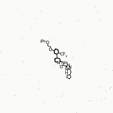 CC(C)OCCOc1ccc(C(F)(F)F)c(-c2ccnc(NC(=O)c3nnc(CC4CCCC4)[nH]3)c2)c1